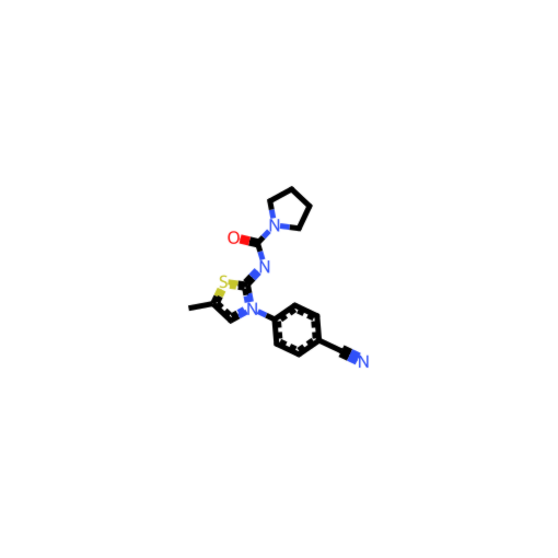 Cc1cn(-c2ccc(C#N)cc2)/c(=N/C(=O)N2CCCC2)s1